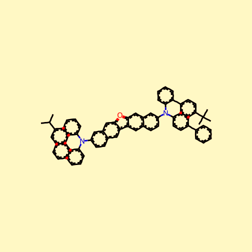 CC(C)c1ccc(-c2ccccc2N(c2ccc3cc4c(cc3c2)oc2cc3cc(N(c5ccc(-c6ccccc6)cc5)c5ccccc5-c5ccc(C(C)(C)C)cc5)ccc3cc24)c2ccccc2-c2ccccc2)cc1